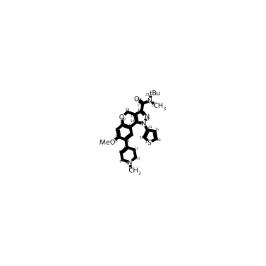 COc1cc2c(cc1C1=CCN(C)CC1)-c1c(c(C(=O)N(C)C(C)(C)C)nn1-c1ccsc1)CO2